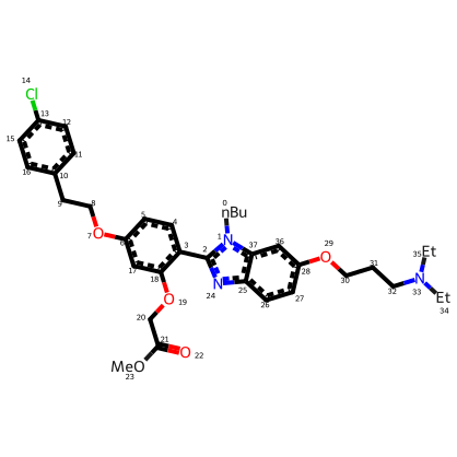 CCCCn1c(-c2ccc(OCCc3ccc(Cl)cc3)cc2OCC(=O)OC)nc2ccc(OCCCN(CC)CC)cc21